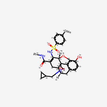 COc1ccc(S(=O)(=O)NC2=C(C(=O)NC(C)C)C[C@@]3(O)[C@H]4Cc5ccc(O)c6c5[C@@]3(CCN4CC3CC3)[C@H]2O6)cc1